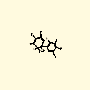 OC1(c2cc(F)c(F)c(F)c2F)C=C(F)C(F)=C(F)C1(F)F